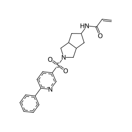 C=CC(=O)NC1CC2CN(S(=O)(=O)c3ccc(-c4ccccc4)nc3)CC2C1